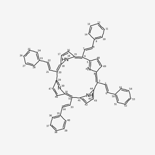 C(=Cc1c2nc(c(C=Cc3ccccc3)c3ccc([nH]3)c(C=Cc3ccccc3)c3nc(c(C=Cc4ccccc4)c4ccc1[nH]4)C=C3)C=C2)c1ccccc1